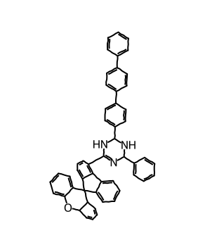 C1=CC2Oc3ccccc3C3(c4ccccc4-c4c(C5=NC(c6ccccc6)NC(c6ccc(-c7ccc(-c8ccccc8)cc7)cc6)N5)cccc43)C2C=C1